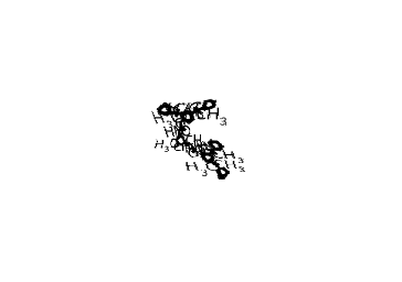 CC1(C)CC(NC(=O)Oc2ccc(C(C)(C)c3ccccc3)cc2C(C)(C)c2ccccc2)CC(C)(CNC(=O)Oc2ccc(C(C)(C)c3ccccc3)cc2C(C)(C)c2ccccc2)C1